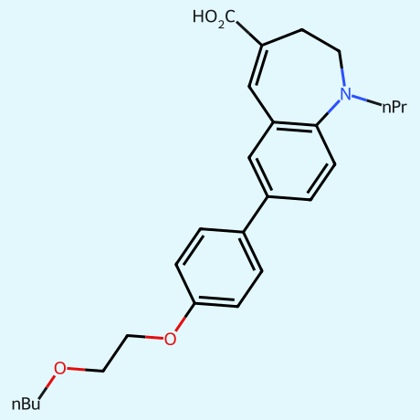 CCCCOCCOc1ccc(-c2ccc3c(c2)C=C(C(=O)O)CCN3CCC)cc1